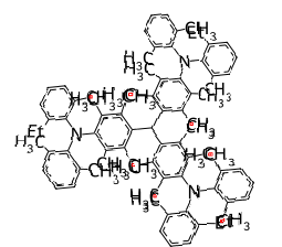 CCc1cccc(C)c1N(c1c(C)cccc1C)c1c(C)c(C)c(C(c2c(C)c(C)c(N(c3c(C)cccc3C)c3c(C)cccc3CC)c(C)c2C)c2c(C)c(C)c(N(c3c(C)cccc3C)c3c(C)cccc3CC)c(C)c2C)c(C)c1C